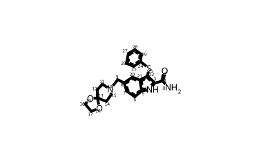 NC(=O)c1[nH]c2ccc(CN3CCC4(CC3)OCCO4)cc2c1Sc1ccccc1